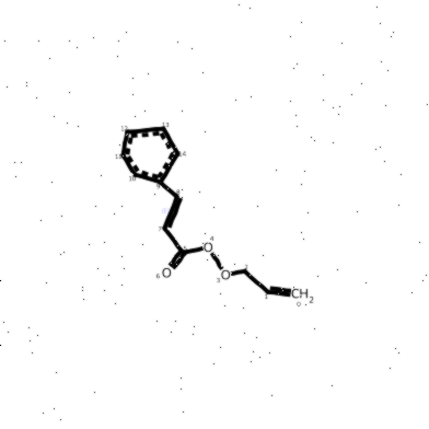 C=CCOOC(=O)/C=C/c1ccccc1